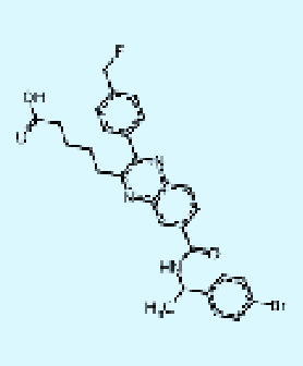 CC(NC(=O)c1ccc2nc(-c3ccc(CF)cc3)c(CCCCC(=O)O)nc2c1)c1ccc(Br)cc1